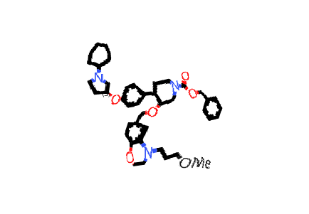 COCCCN1CCOc2ccc(COC3CN(C(=O)OCc4ccccc4)CCC3c3ccc(O[C@H]4CCN(C5CCCCC5)C4)cc3)cc21